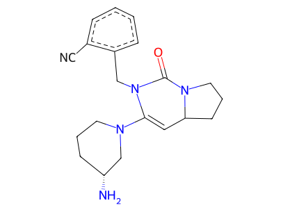 N#Cc1ccccc1CN1C(=O)N2CCCC2C=C1N1CCC[C@@H](N)C1